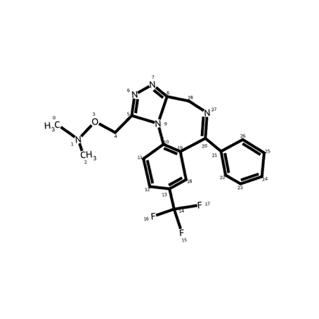 CN(C)OCc1nnc2n1-c1ccc(C(F)(F)F)cc1C(c1ccccc1)=NC2